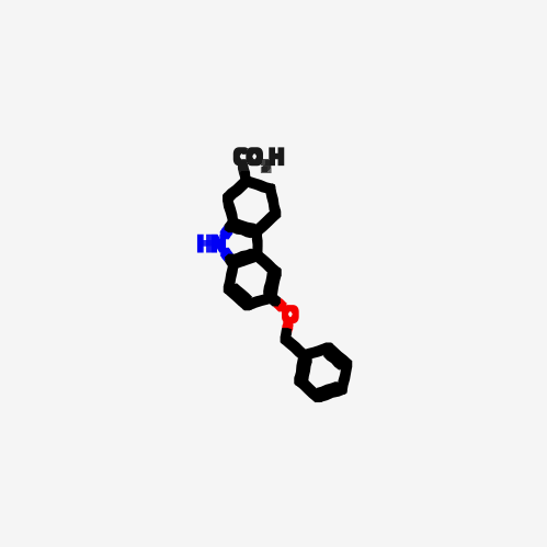 O=C(O)C1CCc2c([nH]c3ccc(OCc4ccccc4)cc23)C1